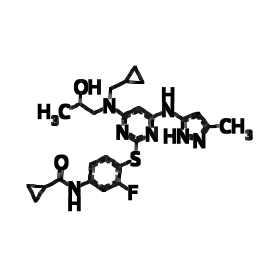 Cc1cc(Nc2cc(N(CC(C)O)CC3CC3)nc(Sc3ccc(NC(=O)C4CC4)cc3F)n2)[nH]n1